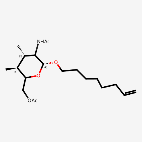 C=CCCCCCCO[C@@H]1OC(COC(C)=O)[C@@H](C)[C@H](C)C1NC(C)=O